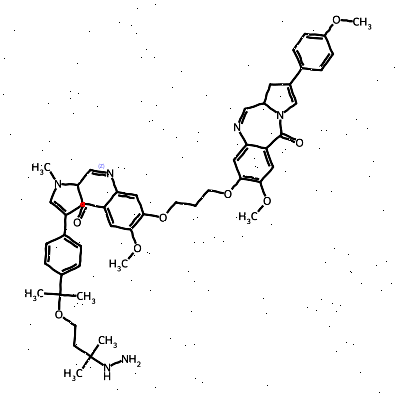 COc1ccc(C2=CN3C(=O)c4cc(OC)c(OCCCOc5cc(/N=C\C6CC(c7ccc(C(C)(C)OCCC(C)(C)NN)cc7)=CN6C)c(C=O)cc5OC)cc4N=CC3C2)cc1